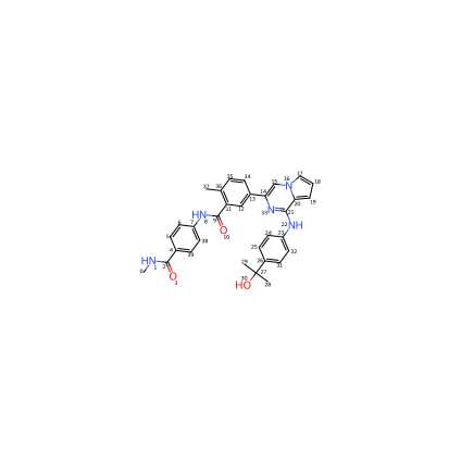 CNC(=O)c1ccc(NC(=O)c2cc(-c3cn4cccc4c(Nc4ccc(C(C)(C)O)cc4)n3)ccc2C)cc1